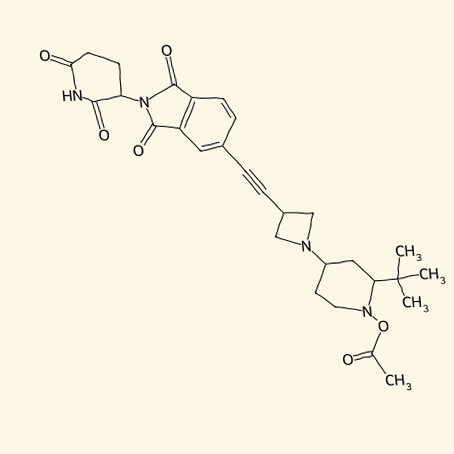 CC(=O)ON1CCC(N2CC(C#Cc3ccc4c(c3)C(=O)N(C3CCC(=O)NC3=O)C4=O)C2)CC1C(C)(C)C